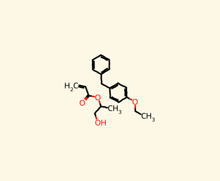 C=CC(=O)OC(C)CO.CCOc1ccc(Cc2ccccc2)cc1